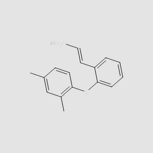 Cc1ccc(Sc2ccccc2/C=C/C(=O)O)c(C)c1